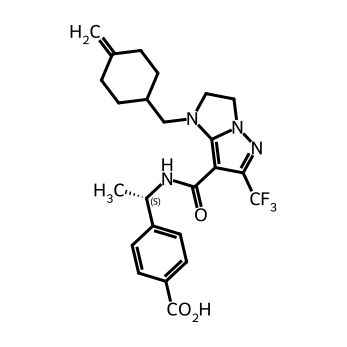 C=C1CCC(CN2CCn3nc(C(F)(F)F)c(C(=O)N[C@@H](C)c4ccc(C(=O)O)cc4)c32)CC1